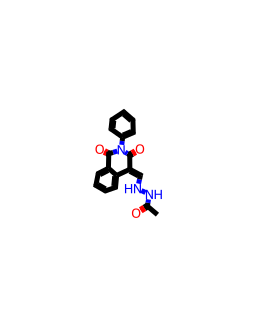 CC(=O)NN/C=C1/C(=O)N(c2ccccc2)C(=O)c2ccccc21